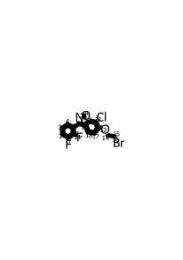 Fc1cccc(-c2noc3c(Cl)c(OCCBr)ccc23)c1F